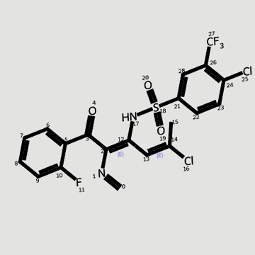 C=N/C(C(=O)c1ccccc1F)=C(\C=C(/C)Cl)NS(=O)(=O)c1ccc(Cl)c(C(F)(F)F)c1